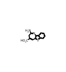 NC1=Nc2c(sc3ccccc23)C=C(C(=O)O)C1